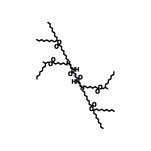 CCCCCCCCC(CCCCCCCC)OC(=O)CCCCCCCN(CCCCCC(=O)OCC(C)CCCCCCC)CCNC(=O)/C=C/C(=O)NCCN(CCCCCCCC(=O)OC(CCCCCCCC)CCCCCCCC)CCCCCC(=O)OCC(C)CCCCCCC